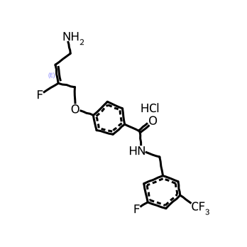 Cl.NC/C=C(/F)COc1ccc(C(=O)NCc2cc(F)cc(C(F)(F)F)c2)cc1